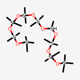 C[SiH](O[Si](C)(C)O[Si](C)(C)O[Si](C)(C)C)O[Si](C)(C)O[Si](C)(C)O[Si](C)(C)O[Si](C)(C)O[Si](C)(C)C